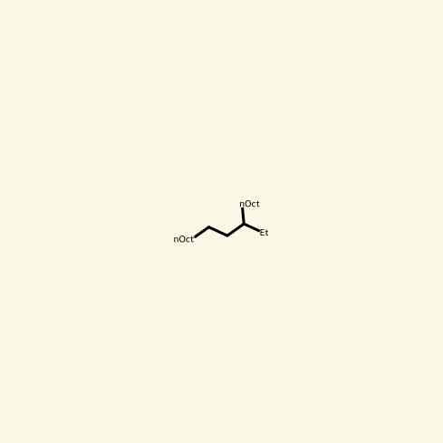 [C]CC(CCCCCCCC)CCCCCCCCCC